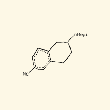 CCCCCCCC1CCc2cc(C#N)ccc2C1